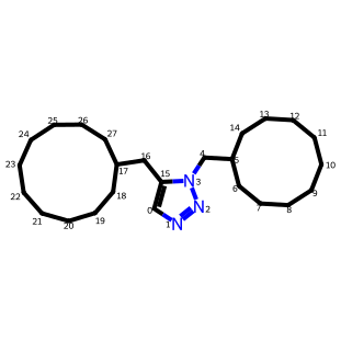 c1nnn(CC2CCCCCCCCC2)c1CC1CCCCCCCCCC1